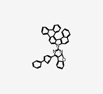 c1ccc(-c2ccc(-c3nc(-n4c5ccc6ccccc6c5c5c6c7ccccc7c7ccccc7c6ccc54)nc4oc5ccccc5c34)cc2)cc1